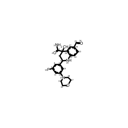 CC1(C(N)=O)CC(c2cc(F)cc(N3CCOCC3)c2)Nc2ccc([C]=O)cc21